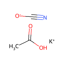 CC(=O)O.N#C[O-].[K+]